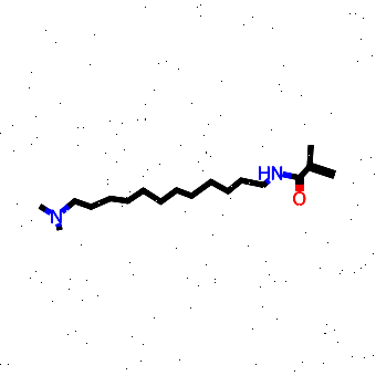 C=C(C)C(=O)NCCCCCCCCCCCCN(C)C